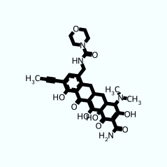 CC#Cc1cc(CNC(=O)N2CCOCC2)c2c(c1O)C(=O)C1=C(O)C3(O)C(=O)C(C(N)=O)=C(O)C(N(C)C)C3CC1C2